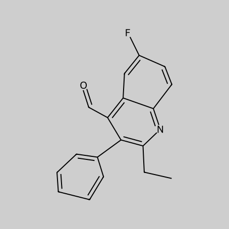 CCc1nc2ccc(F)cc2c(C=O)c1-c1ccccc1